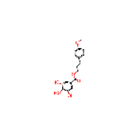 COc1ccc(CCCOC(=O)c2cc(O)c(O)c(O)c2)cc1